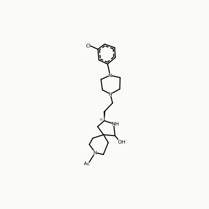 CC(=O)N1CCC2(CC1)C[C@@H](CCN1CCN(c3cccc(Cl)c3)CC1)NC2O